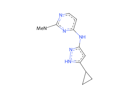 CNc1nccc(Nc2cc(C3CC3)[nH]n2)n1